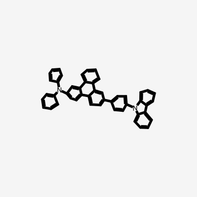 c1ccc(N(c2ccccc2)c2ccc3c4ccc(-c5ccc(-n6c7ccccc7c7ccccc76)cc5)cc4c4ccccc4c3c2)cc1